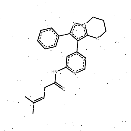 CC(C)=CCC(=O)Nc1cc(-c2c(-c3ccccc3)nn3c2OCCC3)ccn1